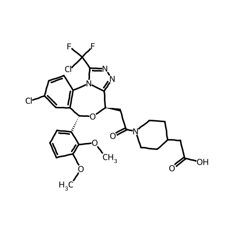 COc1cccc([C@H]2O[C@H](CC(=O)N3CCC(CC(=O)O)CC3)c3nnc(C(F)(F)Cl)n3-c3ccc(Cl)cc32)c1OC